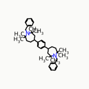 CC1(C)CCC(c2ccc(C3CCC(C)(C)N(Cc4ccccc4)C(C)(C)C3)cc2)CC(C)(C)N1Cc1ccccc1